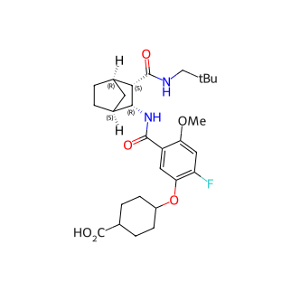 COc1cc(F)c(OC2CCC(C(=O)O)CC2)cc1C(=O)N[C@@H]1[C@H]2CC[C@H](C2)[C@@H]1C(=O)NCC(C)(C)C